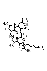 CC(=O)N[C@@H](CNOC(C)[C@H](NC(C)=O)C(=O)N[C@@H](CCCCN)C(N)=O)C(=O)N[C@@H](CC(C)C)C(N)=O